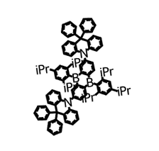 CC(C)c1cc(C(C)C)c(B2c3ccc(N4c5ccccc5C(c5ccccc5)(c5ccccc5)c5ccccc54)cc3B(c3c(C(C)C)cc(C(C)C)cc3C(C)C)c3cc(N4c5ccccc5C(c5ccccc5)(c5ccccc5)c5ccccc54)ccc32)c(C(C)C)c1